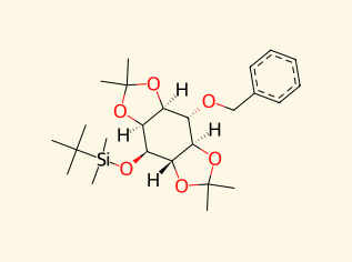 CC1(C)O[C@@H]2[C@@H](OCc3ccccc3)[C@@H]3OC(C)(C)O[C@@H]3[C@H](O[Si](C)(C)C(C)(C)C)[C@H]2O1